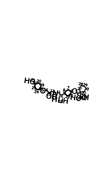 O=[P@@H](O)C1(COc2ccc(CCNCC(O)COc3ccc(O)cc3)cc2)CCCCC1.[LiH]